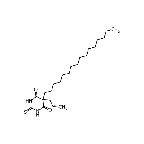 C=CCC1(CCCCCCCCCCCCCCCC)C(=O)NC(=S)NC1=O